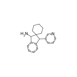 NC1c2ccccc2C(c2cccnc2)C12CCCCC2